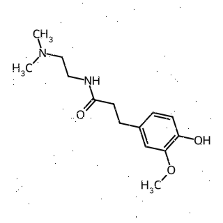 COc1cc(CCC(=O)NCCN(C)C)ccc1O